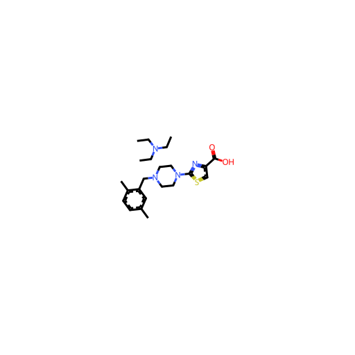 CCN(CC)CC.Cc1ccc(C)c(CN2CCN(c3nc(C(=O)O)cs3)CC2)c1